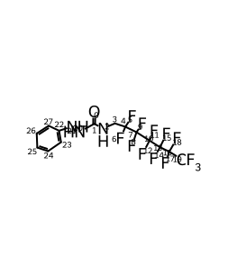 O=C(NCC(F)(F)C(F)(F)C(F)(F)C(F)(F)C(F)(F)C(F)(F)F)NNc1ccccc1